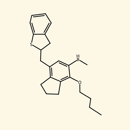 CBc1cc(CC2Cc3ccccc3S2)c2c(c1OCCCC)CCC2